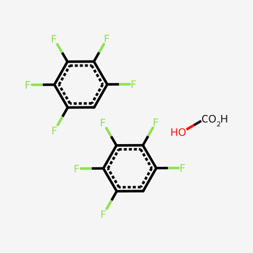 Fc1cc(F)c(F)c(F)c1F.Fc1cc(F)c(F)c(F)c1F.O=C(O)O